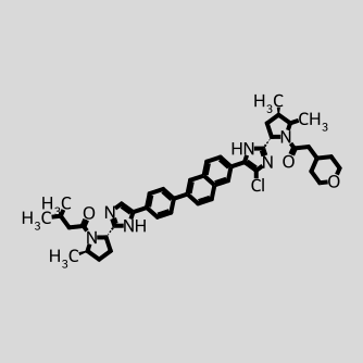 CC(C)CC(=O)N1[C@H](C)CC[C@H]1c1ncc(-c2ccc(-c3ccc4cc(-c5[nH]c([C@@H]6C[C@@H](C)C(C)N6C(=O)CC6CCOCC6)nc5Cl)ccc4c3)cc2)[nH]1